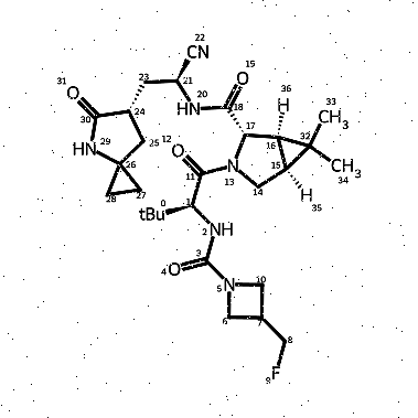 CC(C)(C)[C@H](NC(=O)N1CC(CF)C1)C(=O)N1C[C@H]2[C@@H]([C@H]1C(=O)N[C@H](C#N)C[C@@H]1CC3(CC3)NC1=O)C2(C)C